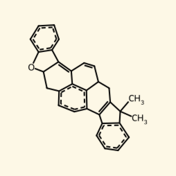 CC1(C)C2=C(c3ccccc31)c1ccc3c4c1C(C=CC4=C1c4ccccc4OC1C3)C2